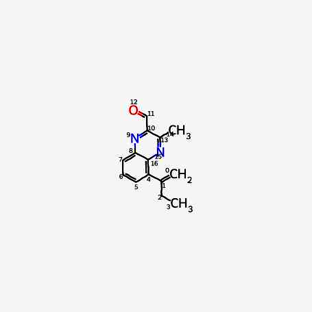 C=C(CC)c1cccc2nc(C=O)c(C)nc12